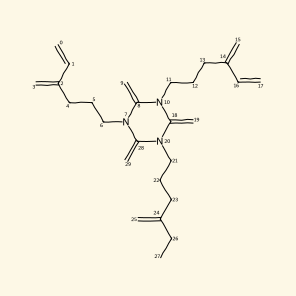 C=CC(=C)CCCN1C(=C)N(CCCC(=C)C=C)C(=C)N(CCCC(=C)CC)C1=C